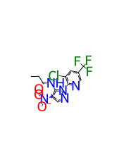 CCC(=O)Nc1c([N+](=O)[O-])cnn1-c1ncc(C(F)(F)F)cc1Cl